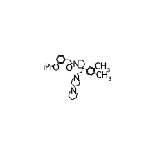 Cc1ccc(C2(CCN3CCC(N4CCCCC4)CC3)CCCN(C(=O)Cc3cccc(OC(C)C)c3)C2)cc1C